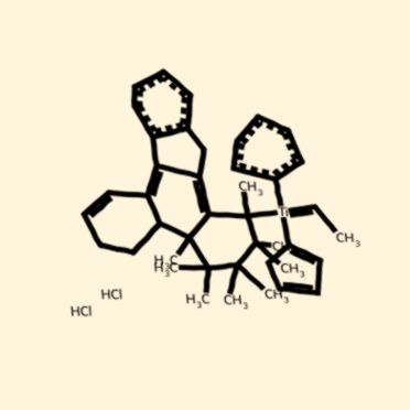 C[CH]=[Ti]([C]1=CC=CC1)([c]1ccccc1)[C]1(C)C2=C3Cc4ccccc4C3=C3C=CCCC3C2(C)C(C)(C)C(C)(C)C1(C)C.Cl.Cl